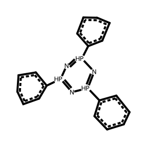 c1ccc([PH]2=N[PH](c3ccccc3)=N[PH](c3ccccc3)=N2)cc1